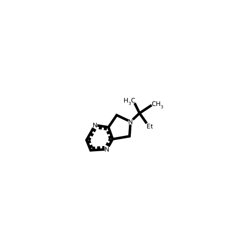 CCC(C)(C)N1Cc2nccnc2C1